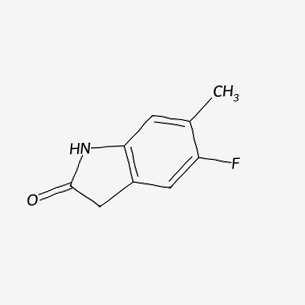 Cc1cc2c(cc1F)CC(=O)N2